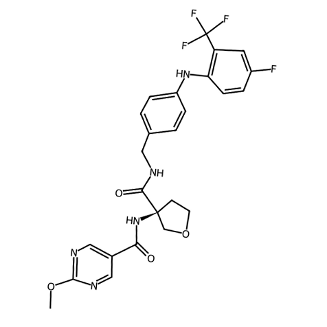 COc1ncc(C(=O)N[C@@]2(C(=O)NCc3ccc(Nc4ccc(F)cc4C(F)(F)F)cc3)CCOC2)cn1